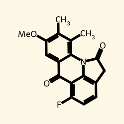 COc1cc2c(=O)c3c(F)ccc4c3n(c2c(C)c1C)C(=O)C4